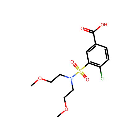 COCCN(CCOC)S(=O)(=O)c1cc(C(=O)O)ccc1Cl